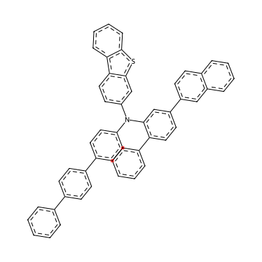 c1ccc(-c2ccc(-c3ccc(N(c4ccc5c(c4)sc4ccccc45)c4cc(-c5ccc6ccccc6c5)ccc4-c4ccccc4)cc3)cc2)cc1